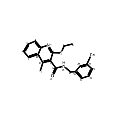 CCSc1nc2ccccc2c(C)c1C(=O)NCc1cccc(F)c1